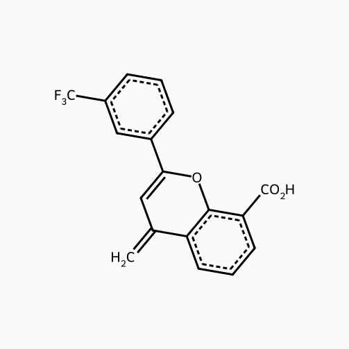 C=C1C=C(c2cccc(C(F)(F)F)c2)Oc2c1cccc2C(=O)O